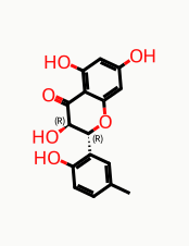 Cc1ccc(O)c([C@H]2Oc3cc(O)cc(O)c3C(=O)[C@@H]2O)c1